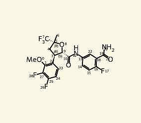 COc1c([C@H]2C[C@](C)(C(F)(F)F)O[C@@H]2C(=O)Nc2ccc(F)c(C(N)=O)c2)ccc(F)c1F